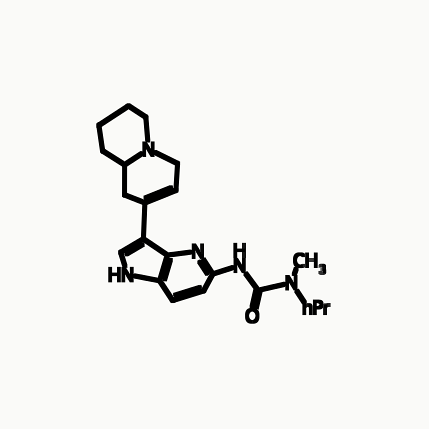 CCCN(C)C(=O)Nc1ccc2[nH]cc(C3=CCN4CCCCC4C3)c2n1